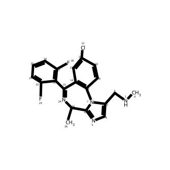 CNCc1cnc2n1-c1ccc(Cl)cc1C(c1c(F)cccc1F)=NC2C